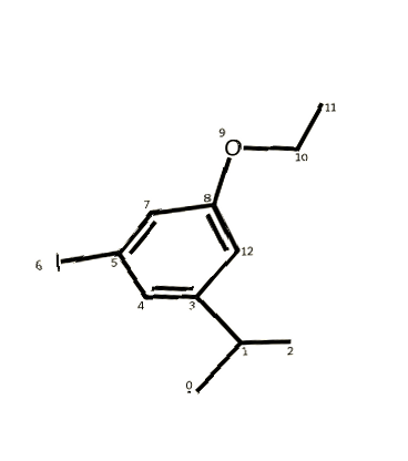 [CH2]C(C)c1cc(I)cc(OCC)c1